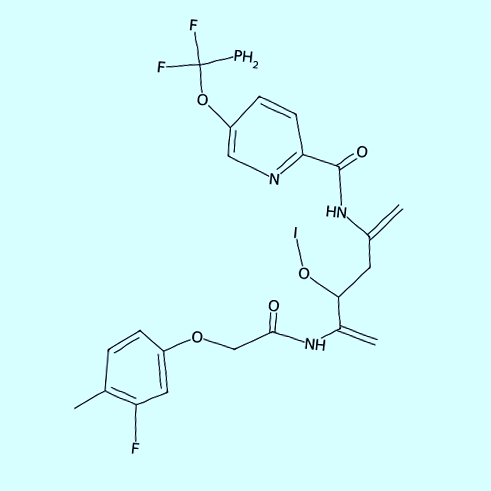 C=C(CC(OI)C(=C)NC(=O)COc1ccc(C)c(F)c1)NC(=O)c1ccc(OC(F)(F)P)cn1